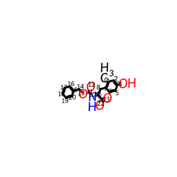 Cc1cc(O)cc2c1C[C@H](NC(=O)OCc1ccccc1)C(=O)O2